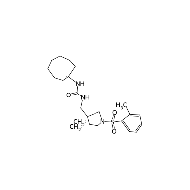 Cc1ccccc1S(=O)(=O)N1CCC(CNC(=O)N[C]2CCCCCCC2)C1.[CH2].[CH2]